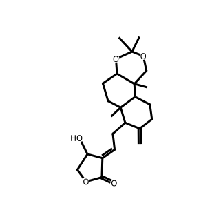 C=C1CCC2C3(C)COC(C)(C)OC3CCC2(C)C1CC=C1C(=O)OCC1O